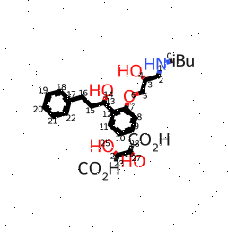 CCC(C)NCC(O)COc1ccccc1C(O)CCc1ccccc1.O=C(O)C(O)C(O)C(=O)O